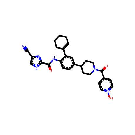 N#Cc1c[nH]c(C(=O)Nc2ccc(C3CCN(C(=O)c4cc[n+](O)cc4)CC3)cc2C2=CCCCC2)n1